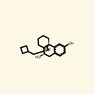 Oc1ccc2c(c1)[C@@]13CCCC[C@@]1(O)[C@@](O)(C2)N(CC1CCC1)CC3